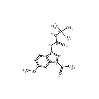 COc1ccc2c(c1)c(C(C)=O)cn2CC(=O)OC(C)(C)C